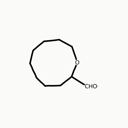 O=[C]C1CCCCCCCCO1